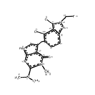 CN(C)c1nc2[nH]cc(-c3ccc4nn(CF)c(Cl)c4c3Cl)c2c(=O)n1C